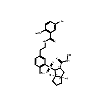 COc1ccc(C(C)(C)C)cc1C(=O)NCCc1ccc(OC)c(S(=O)(=O)N2[C@@H](C(=O)NO)C[C@H]3CCC[C@H]32)c1